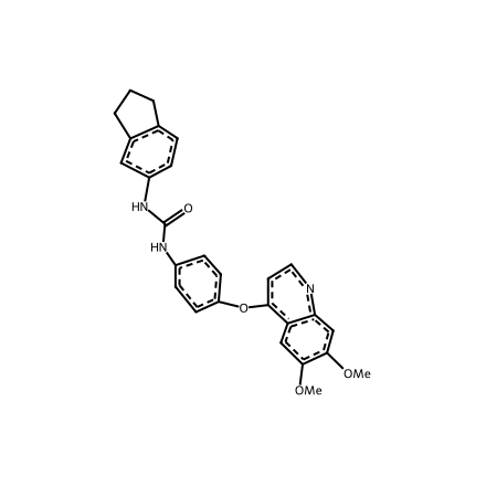 COc1cc2nccc(Oc3ccc(NC(=O)Nc4ccc5c(c4)CCC5)cc3)c2cc1OC